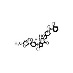 C[C@H]1CN(C(=O)O)[C@H](c2ccc(-n3c(Cl)cc4c(=O)n(CC5(O)CCN(C(=O)c6ccccc6Cl)CC5)cnc43)cc2)CO1